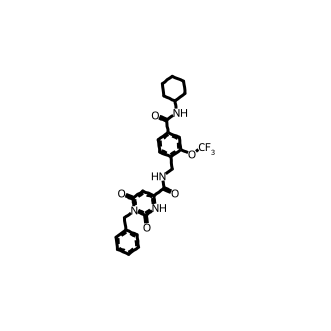 O=C(NC1CCCCC1)c1ccc(CNC(=O)c2cc(=O)n(Cc3ccccc3)c(=O)[nH]2)c(OC(F)(F)F)c1